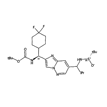 CC(C)C(N[S@@+]([O-])C(C)(C)C)c1cnn2cc([C@@H](NC(=O)OC(C)(C)C)C3CCC(F)(F)CC3)nc2c1